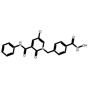 O=C(NO)c1ccc(Cn2cc(Cl)cc(C(=O)Nc3ccccc3)c2=O)cc1